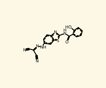 N#CC(C#N)=NNc1ccc2nc(NC(=O)c3ccccc3O)sc2c1